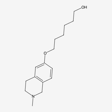 CN1CCc2cc(OCCCCCCO)ccc2C1